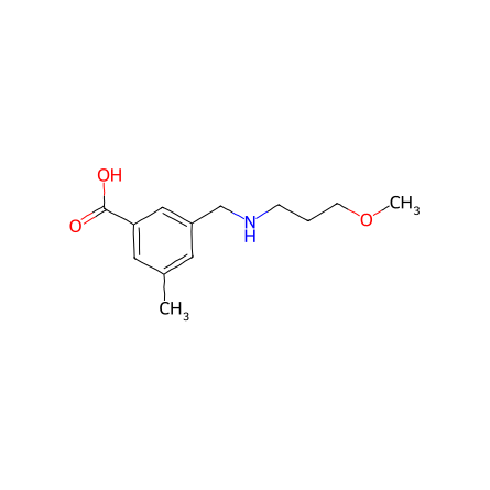 COCCCNCc1cc(C)cc(C(=O)O)c1